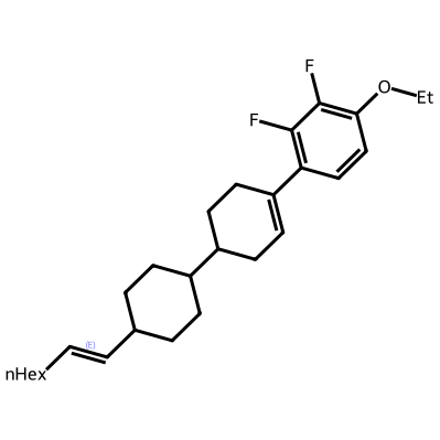 CCCCCC/C=C/C1CCC(C2CC=C(c3ccc(OCC)c(F)c3F)CC2)CC1